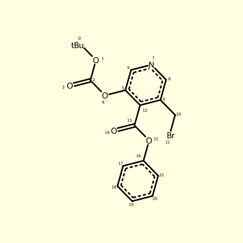 CC(C)(C)OC(=O)Oc1cncc(CBr)c1C(=O)Oc1ccccc1